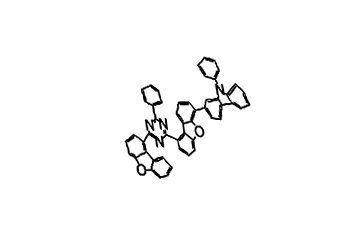 c1ccc(-c2nc(-c3cccc4oc5ccccc5c34)nc(-c3cccc4oc5c(-c6ccc7c8ccccc8n(-c8ccccc8)c7c6)cccc5c34)n2)cc1